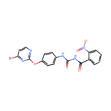 O=C(NC(=O)c1ccccc1[N+](=O)[O-])Nc1ccc(Oc2nccc(Br)n2)cc1